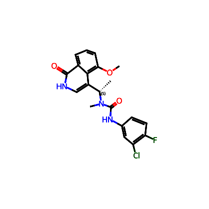 COc1cccc2c(=O)[nH]cc([C@H](C)N(C)C(=O)Nc3ccc(F)c(Cl)c3)c12